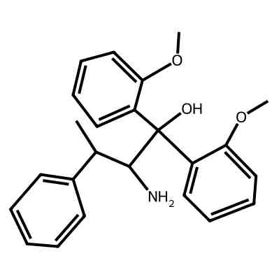 COc1ccccc1C(O)(c1ccccc1OC)C(N)C(C)c1ccccc1